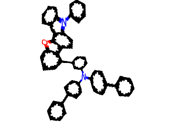 c1ccc(-c2ccc(N(c3ccc(-c4ccccc4)cc3)c3cccc(-c4cccc5oc6c(ccc7c6c6ccccc6n7-c6ccccc6)c45)c3)cc2)cc1